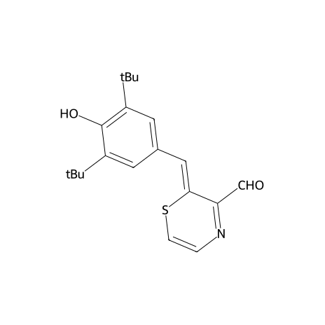 CC(C)(C)c1cc(C=C2SC=CN=C2C=O)cc(C(C)(C)C)c1O